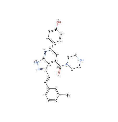 Cc1cccc(C=Cc2n[nH]c3nc(-c4ccc(O)cc4)cc(C(=O)N4CCNCC4)c23)c1